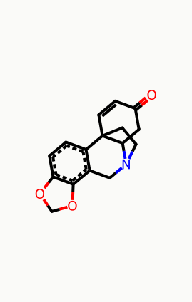 O=C1C=CC23CCN(Cc4c2ccc2c4OCO2)C3C1